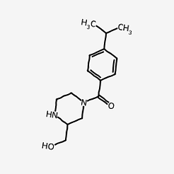 CC(C)c1ccc(C(=O)N2CCNC(CO)C2)cc1